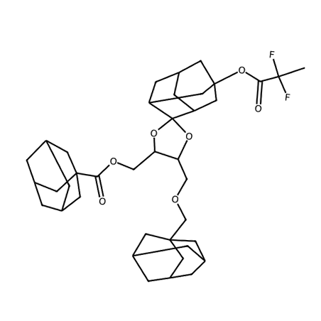 CC(F)(F)C(=O)OC12CC3CC(C1)C1(OC(COCC45CC6CC(CC(C6)C4)C5)C(COC(=O)C45CC6CC(CC(C6)C4)C5)O1)C(C3)C2